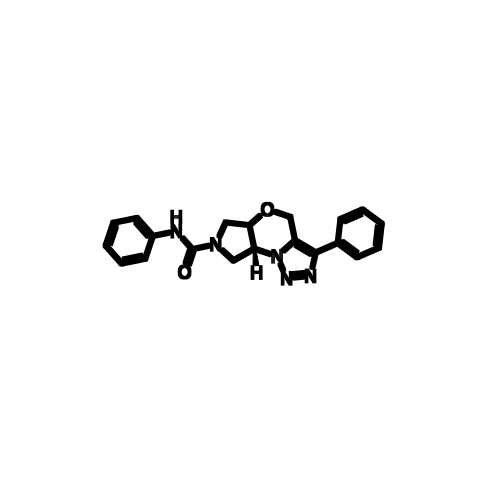 O=C(Nc1ccccc1)N1CC2OCc3c(-c4ccccc4)nnn3[C@@H]2C1